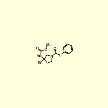 CCC1(NC(=O)OC(C)(C)C)CCN(C(=O)Oc2ccccc2)C1